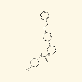 O=C(N[C@H]1CC[C@H](O)CC1)[C@H]1CCCN(c2ccc(OCc3ccccc3)cc2)C1